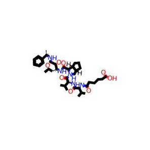 CCC[C@@H](NC(=O)C1[C@H]2CCC[C@H]2CN1C(=O)[C@@H](NC(=O)[C@@H](NC(=O)CCCCC(=O)O)C(C)C)C(C)C)C(=O)C(=O)N[C@@H](C)c1ccccc1